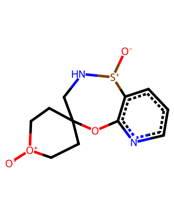 [O-][O+]1CCC2(CC1)CN[S+]([O-])c1cccnc1O2